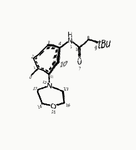 Cc1ccc(NC(=O)CC(C)(C)C)cc1N1CCOCC1